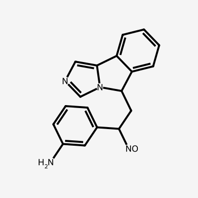 Nc1cccc(C(CC2c3ccccc3-c3cncn32)N=O)c1